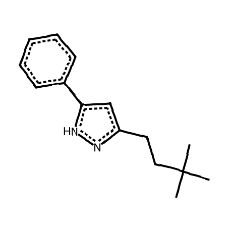 CC(C)(C)CCc1cc(-c2ccccc2)[nH]n1